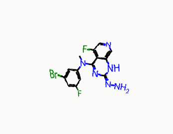 CN(c1cc(F)cc(Br)c1)c1n/c(=N/N)[nH]c2cncc(F)c12